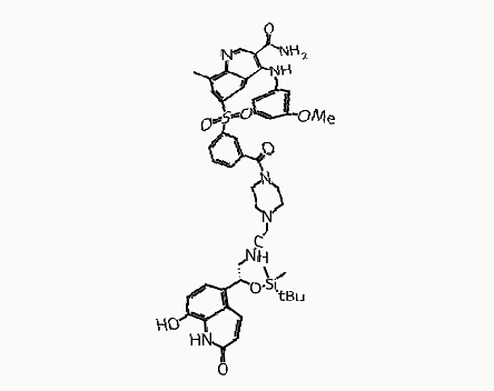 COc1cccc(Nc2c(C(N)=O)cnc3c(C)cc(S(=O)(=O)c4cccc(C(=O)N5CCN(CCNC[C@H](O[Si](C)(C)C(C)(C)C)c6ccc(O)c7[nH]c(=O)ccc67)CC5)c4)cc23)c1